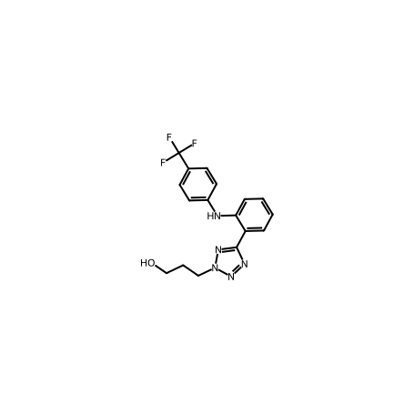 OCCCn1nnc(-c2ccccc2Nc2ccc(C(F)(F)F)cc2)n1